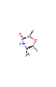 CC1=C(C(C)C)NC(=O)[C@@H](C)O1